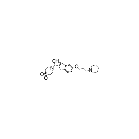 CC(C1Cc2ccc(OCCCN3CCCCC3)cc2C1)N1CCS(=O)(=O)CC1